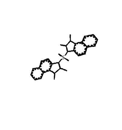 CC1c2c(ccc3ccccc23)C(S(C)(C)C2c3ccc4ccccc4c3C(C)C2C)C1C